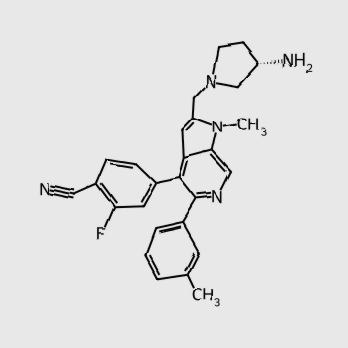 Cc1cccc(-c2ncc3c(cc(CN4CC[C@H](N)C4)n3C)c2-c2ccc(C#N)c(F)c2)c1